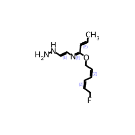 C/C=C/C(=N\C=C\NN)OC/C=C\C=C/CF